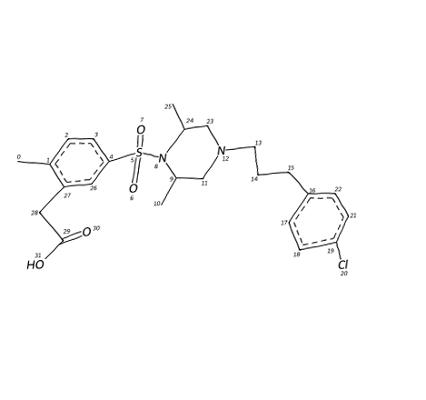 Cc1ccc(S(=O)(=O)N2C(C)CN(CCCc3ccc(Cl)cc3)CC2C)cc1CC(=O)O